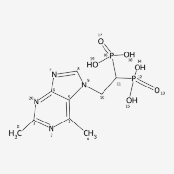 Cc1nc(C)c2c(ncn2CC(P(=O)(O)O)P(=O)(O)O)n1